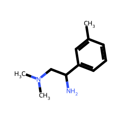 Cc1cccc(C(N)CN(C)C)c1